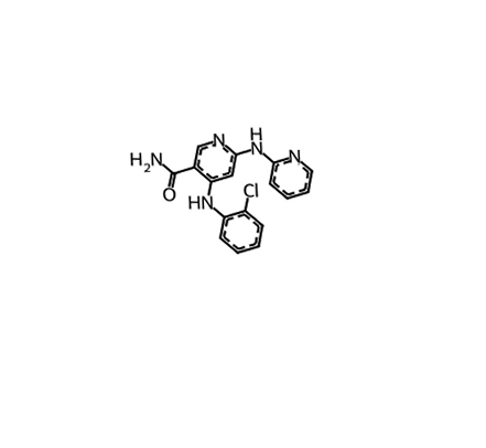 NC(=O)c1cnc(Nc2ccccn2)cc1Nc1ccccc1Cl